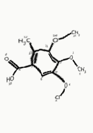 COc1c(OCl)cc(C(=O)O)c(C)c1OC